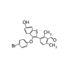 Cc1ccc(-c2sc3cc(O)ccc3c2Oc2ccc(Br)cc2)c(C)c1C=O